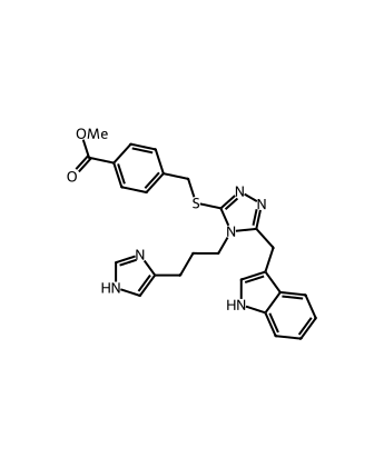 COC(=O)c1ccc(CSc2nnc(Cc3c[nH]c4ccccc34)n2CCCc2c[nH]cn2)cc1